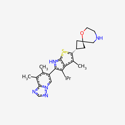 Cc1c(-c2[nH]c3sc([C@H]4C[C@@]5(CNCCO5)C4)c(C)c3c2C(C)C)cn2ncnc2c1C